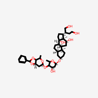 CC1O[C@@H](O[C@H]2CC[C@@]3(C)[C@H](CC[C@@H]4[C@@H]3C[C@@H](O)[C@]3(C)[C@@H](C(CO)CCO)CC[C@]43O)C2)C[C@@H](O)C1O[C@H]1C[C@H]2OC(c3ccccc3)OC2C(C)O1